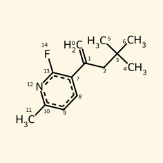 C=C(CC(C)(C)C)c1ccc(C)nc1F